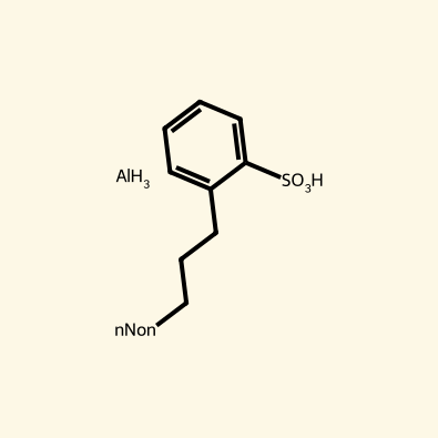 CCCCCCCCCCCCc1ccccc1S(=O)(=O)O.[AlH3]